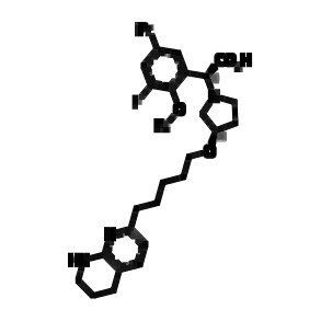 CCOc1c(F)cc(C(C)C)cc1[C@@H](C(=O)O)N1CC[C@@H](OCCCCCc2ccc3c(n2)NCCC3)C1